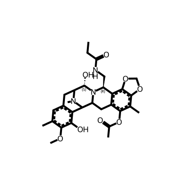 CCC(=O)NC[C@H]1c2c(c(OC(C)=O)c(C)c3c2OCO3)CC2C3c4c(cc(C)c(OC)c4O)CC([C@H](O)N21)N3C